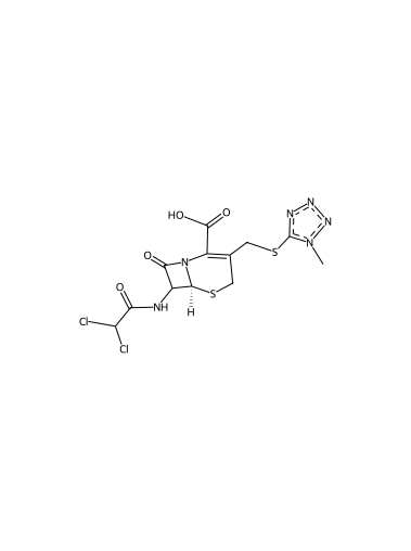 Cn1nnnc1SCC1=C(C(=O)O)N2C(=O)C(NC(=O)C(Cl)Cl)[C@@H]2SC1